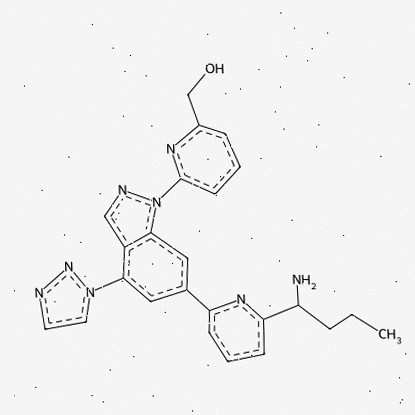 CCCC(N)c1cccc(-c2cc(-n3ccnn3)c3cnn(-c4cccc(CO)n4)c3c2)n1